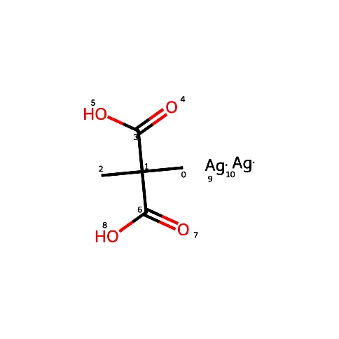 CC(C)(C(=O)O)C(=O)O.[Ag].[Ag]